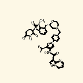 Cn1c(=O)n(C2CCC(=O)NC2=O)c2cccc(C[C@H]3CN(Cc4ccc(-n5cc(NC(=O)c6cnn7cccnc67)c(C(F)F)n5)cc4)CCO3)c21